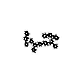 c1ccc(-c2cc(-c3ccc(-c4ccc(-c5cc(-c6ccccc6)cc(-n6c7ccccc7c7ccc8c9ccccc9sc8c76)n5)cc4)cc3)cc(-c3cccc(-n4c5ccccc5c5ccc6c7ccccc7sc6c54)c3)c2)cc1